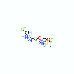 C=N/C=C\C(Oc1ccc(-c2nnc(Nc3cccc(C(F)(F)F)c3)[nH]2)cc1)=C1\C=CC(OC(F)(F)F)=CC1